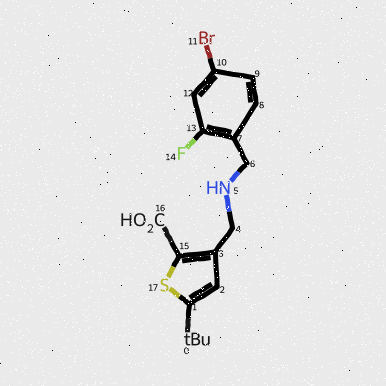 CC(C)(C)c1cc(CNCc2ccc(Br)cc2F)c(C(=O)O)s1